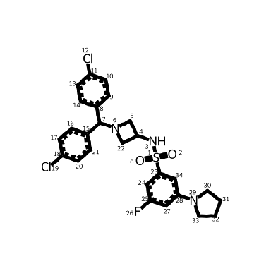 O=S(=O)(NC1CN(C(c2ccc(Cl)cc2)c2ccc(Cl)cc2)C1)c1cc(F)cc(N2CCCC2)c1